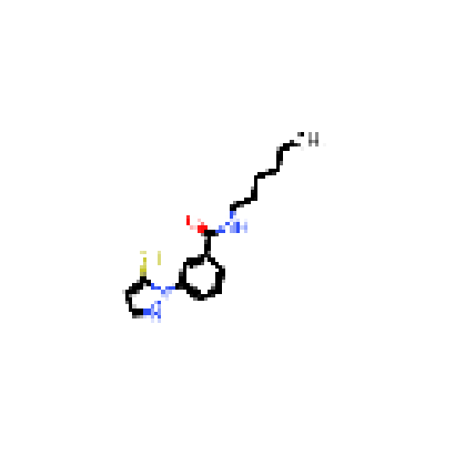 CCCCCCNC(=O)c1cccc(-n2nccc2S)c1